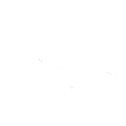 O=[N+]([O-])c1ccc(Nc2ccc(N(CCO)CCO)cc2)c(S(=O)(=O)O)c1